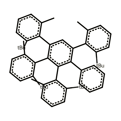 Cc1cccc(C(C)(C)C)c1-c1cc(-c2c(C)cccc2C(C)(C)C)c(-c2c(C)cccc2C(C)(C)C)c(-c2c(C)cccc2C(C)(C)C)c1-c1ccccc1